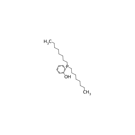 CCCCCCCC[P]CCCCCCCC.Oc1ccccc1